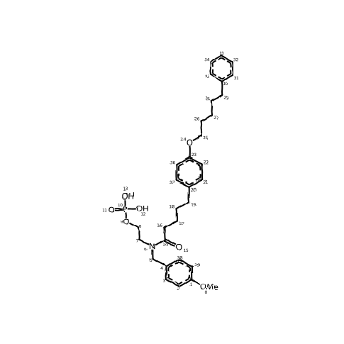 COc1ccc(CN(CCOP(=O)(O)O)C(=O)CCCCc2ccc(OCCCCCc3ccccc3)cc2)cc1